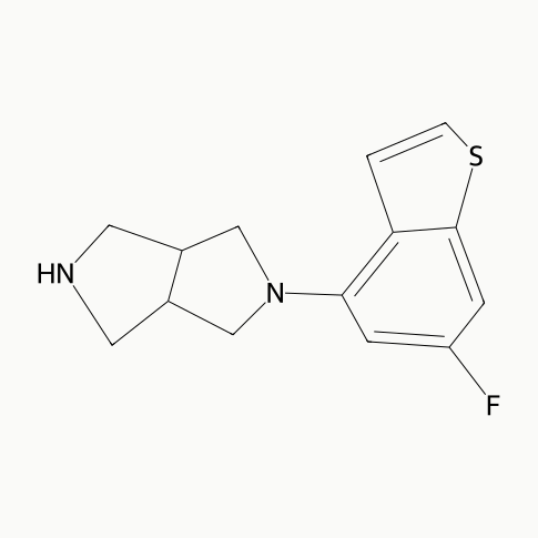 Fc1cc(N2CC3CNCC3C2)c2ccsc2c1